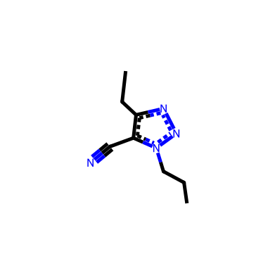 CCCn1nnc(CC)c1C#N